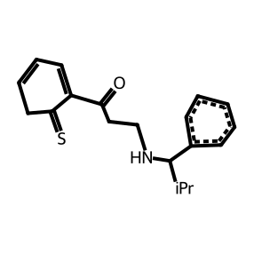 CC(C)C(NCCC(=O)C1=CC=CCC1=S)c1ccccc1